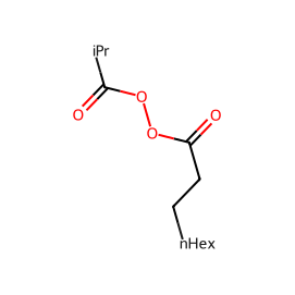 CCCCCCCCC(=O)OOC(=O)C(C)C